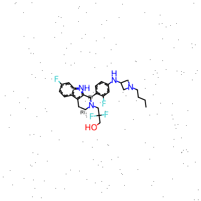 CCCCN1CC(Nc2ccc([C@@H]3c4[nH]c5cc(F)ccc5c4C[C@@H](C)N3CC(F)(F)CO)c(F)c2)C1